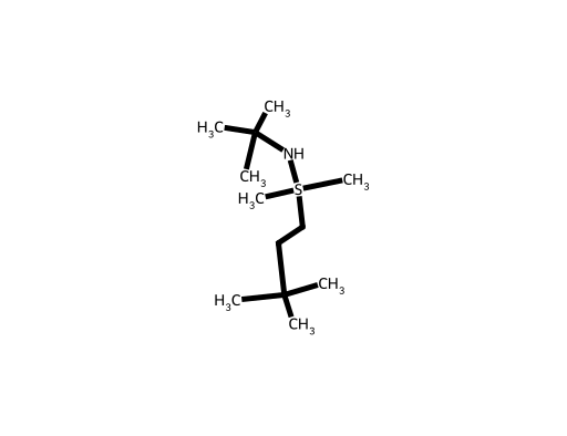 CC(C)(C)CCS(C)(C)NC(C)(C)C